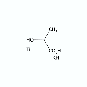 CC(O)C(=O)O.[KH].[Ti]